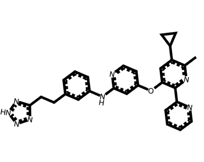 Cc1nc(-c2ccccn2)c(Oc2ccnc(Nc3cccc(CCc4nn[nH]n4)c3)c2)cc1C1CC1